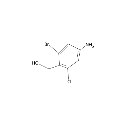 Nc1cc(Cl)c(CO)c(Br)c1